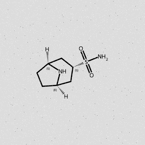 NS(=O)(=O)[C@@H]1C[C@H]2CC[C@@H](C1)N2